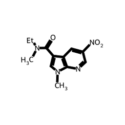 CCN(C)C(=O)c1cn(C)c2ncc([N+](=O)[O-])cc12